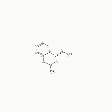 CC1CC(=NO)c2ccccc2C1